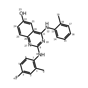 Cc1cc(F)ccc1Nc1nc(Nc2ccccc2C)c2cc(O)ccc2n1